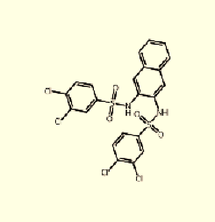 O=S(=O)(Nc1cc2ccccc2cc1NS(=O)(=O)c1ccc(Cl)c(Cl)c1)c1ccc(Cl)c(Cl)c1